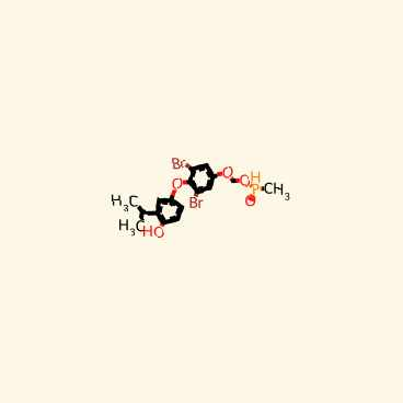 CC(C)c1cc(Oc2c(Br)cc(OCO[PH](C)=O)cc2Br)ccc1O